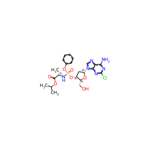 CC(C)OC(=O)[C@H](C)NP(=O)(Oc1ccccc1)O[C@@H]1C[C@H](n2cnc3c(N)nc(Cl)nc32)O[C@@H]1CO